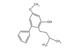 COc1cc(O)c(CCC(C)C)c(-c2ccccc2)c1